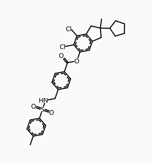 Cc1ccc(S(=O)(=O)NCc2ccc(C(=O)Oc3cc4c(c(Cl)c3Cl)CC(C)(C3CCCC3)C4)cc2)cc1